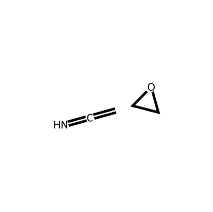 C1CO1.C=C=N